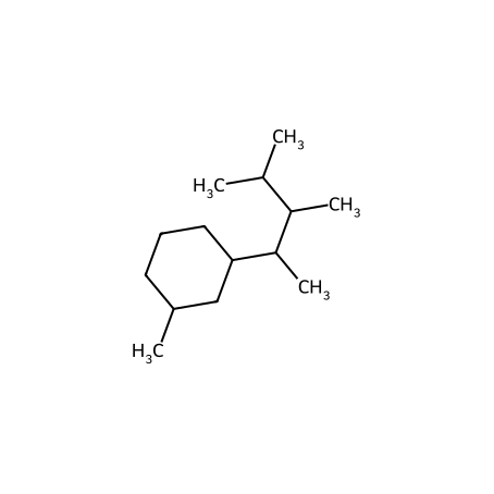 CC1CCCC(C(C)C(C)C(C)C)C1